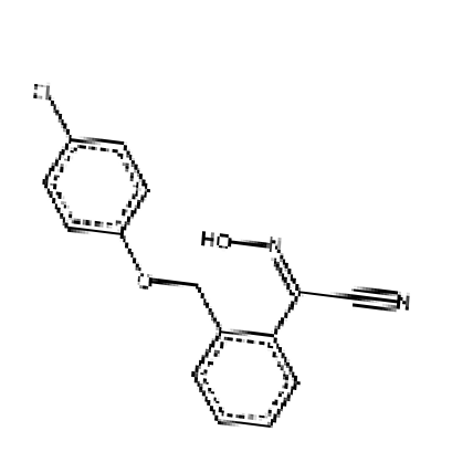 N#C/C(=N/O)c1ccccc1COc1ccc(Cl)cc1